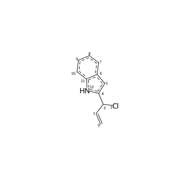 C=CC(Cl)c1cc2ccccc2[nH]1